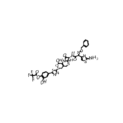 Nc1nc(C(=NOCc2ccccc2)C(=O)N[C@@H]2C(=O)N3C(C(=O)O)=C(CSc4nnc(-c5ccc(OC(=O)C(F)(F)F)c(O)c5)s4)CS[C@@H]23)cs1